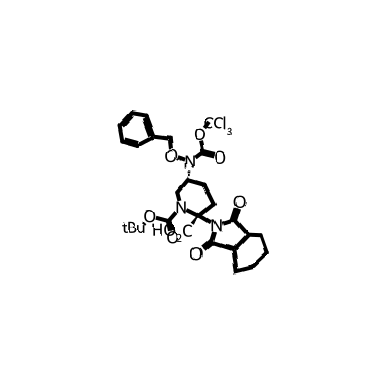 CC(C)(C)OC(=O)N1C[C@H](N(OCc2ccccc2)C(=O)OC(Cl)(Cl)Cl)CC[C@]1(C(=O)O)N1C(=O)C2CCCCC2C1=O